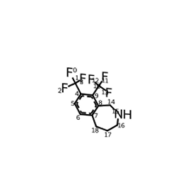 FC(F)(F)c1ccc2c(c1C(F)(F)F)CNCCC2